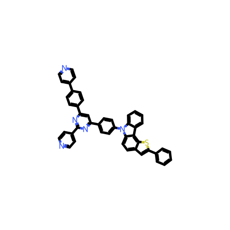 c1ccc(-c2cc3ccc4c(c5ccccc5n4-c4ccc(-c5cc(-c6ccc(-c7ccncc7)cc6)nc(-c6ccncc6)n5)cc4)c3s2)cc1